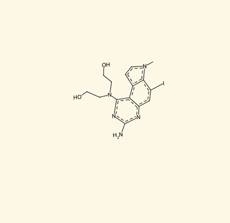 Cn1ccc2c3c(N(CCO)CCO)nc(N)nc3cc(I)c21